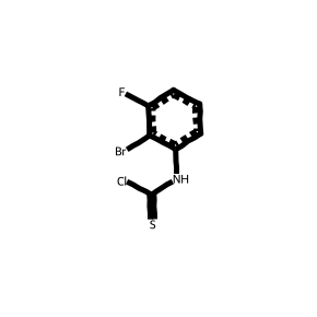 Fc1cccc(NC(=S)Cl)c1Br